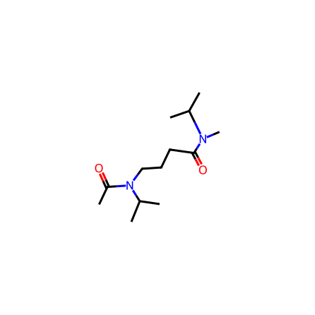 CC(=O)N(CCCC(=O)N(C)C(C)C)C(C)C